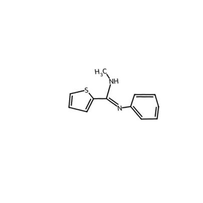 CNC(=Nc1ccccc1)c1cccs1